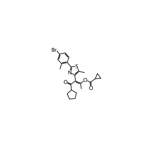 C/C(OC(=O)C1CC1)=C(\C(=O)C1CCCC1)c1nc(-c2ccc(Br)cc2C)sc1C